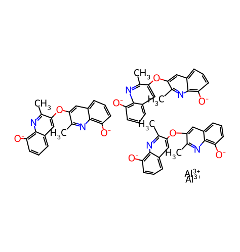 Cc1nc2c([O-])cccc2cc1Oc1cc2cccc([O-])c2nc1C.Cc1nc2c([O-])cccc2cc1Oc1cc2cccc([O-])c2nc1C.Cc1nc2c([O-])cccc2cc1Oc1cc2cccc([O-])c2nc1C.[Al+3].[Al+3]